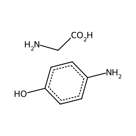 NCC(=O)O.Nc1ccc(O)cc1